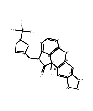 O=C1N(CC2=CCC(C(F)(F)F)S2)c2cccc3c2C1(F)c1cc2c(cc1O3)OCO2